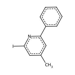 Cc1cc(I)nc(-c2ccccc2)c1